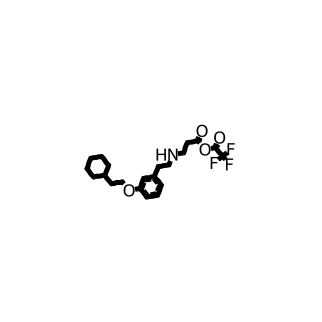 O=C(CCNCCc1cccc(OCCC2CCCCC2)c1)OC(=O)C(F)(F)F